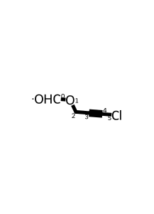 O=[C]OCC#CCl